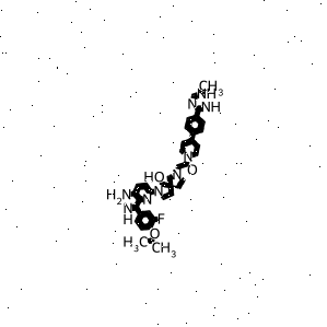 CN/C=N\C(=N)c1ccc(C2=CCN(C(=O)CN3CC[C@]4(CCN(c5ccc(N)c(C(=N)c6ccc(OC(C)C)c(F)c6)n5)C4O)C3)CC2)cc1